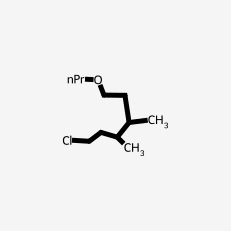 CCCOCCC(C)C(C)CCCl